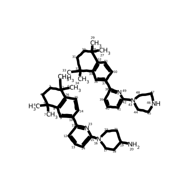 CC1(C)CCC(C)(C)c2cc(-c3cccc(N4CCC(N)CC4)n3)ccc21.CC1(C)CCC(C)(C)c2cc(-c3cccc(N4CCNCC4)n3)ccc21